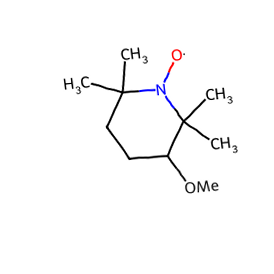 COC1CCC(C)(C)N([O])C1(C)C